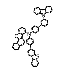 c1cc(-c2ccc(N(c3ccc(-c4ccc5c(c4)sc4ccccc45)cc3)c3cccc4oc5c6ccccc6ccc5c34)cc2)cc(-n2c3ccccc3c3ccccc32)c1